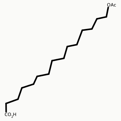 CC(=O)OCCCCCCCCCCCCCCC(=O)O